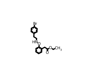 CCOC(=O)Cc1ccccc1ONCCc1ccc(Br)cc1